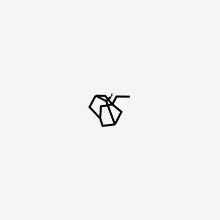 CCC12CC3CC(C1)C(F)C(C3)C2